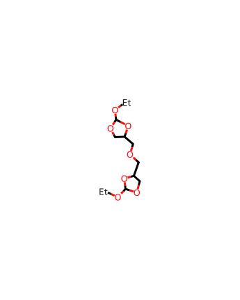 CCOC1OCC(COCC2COC(OCC)O2)O1